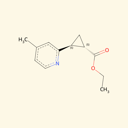 CCOC(=O)[C@H]1C[C@@H]1c1cc(C)ccn1